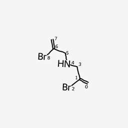 C=C(Br)CNCC(=C)Br